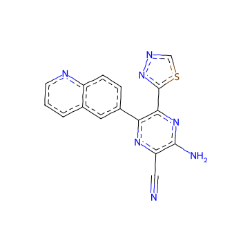 N#Cc1nc(-c2ccc3ncccc3c2)c(-c2nncs2)nc1N